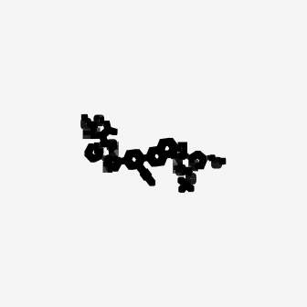 CC#Cc1cc(-c2cnc([C@@H]3CCCN3C(=O)[C@@H](NC(=O)OC)C(C)C)[nH]2)ccc1-c1ccc2c(ccc3nc([C@@H]4C[C@H](COC)CN4C(=O)OC(C)(C)C)[nH]c32)c1